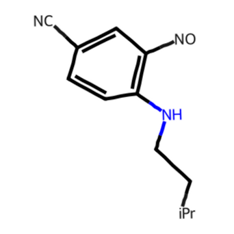 CC(C)CCNc1ccc(C#N)cc1N=O